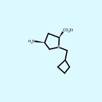 CCOC(=O)[C@@H]1C[C@H](N)CN1CC1CCC1